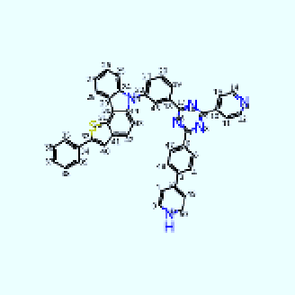 C1=CC(c2ccc(-c3nc(-c4ccncc4)nc(-c4cccc(-n5c6ccccc6c6c7sc(-c8ccccc8)cc7ccc65)c4)n3)cc2)=CCN1